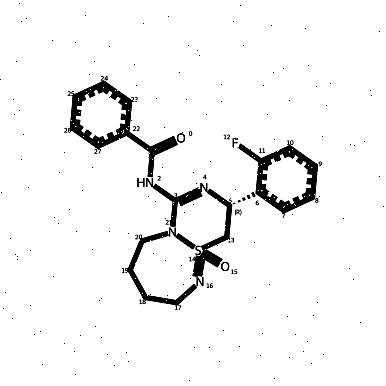 O=C(NC1=N[C@H](c2ccccc2F)CS2(=O)=NCCCCN12)c1ccccc1